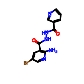 Nc1ncc(Br)cc1C(=O)NNC(=O)c1cccnc1